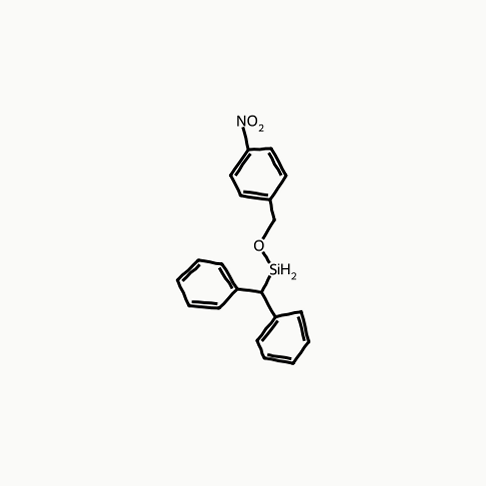 O=[N+]([O-])c1ccc(CO[SiH2]C(c2ccccc2)c2ccccc2)cc1